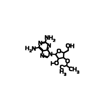 CC(C)OC1C(CO)OC(n2cnc3c(N)nc(N)nc32)C1OI